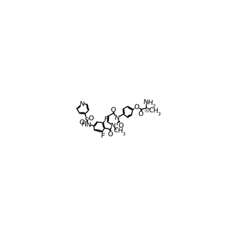 C[C@H](N)C(=O)Oc1ccc(N2C(=O)C=C[N+](C)(C(=O)c3c(F)cc(NS(=O)(=O)c4ccncc4)cc3F)C2=O)cc1